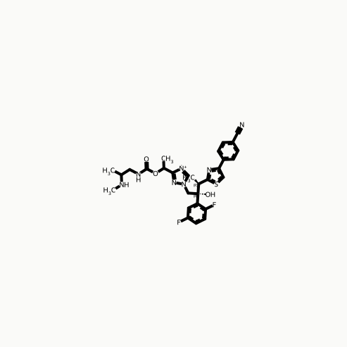 CNC(C)CNC(=O)OC(C)C1=NN(C[C@](O)(c2cc(F)ccc2F)[C@@H](C)c2nc(-c3ccc(C#N)cc3)cs2)C=[N+]1